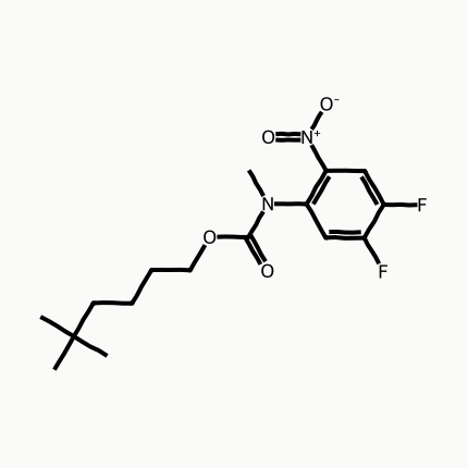 CN(C(=O)OCCCCC(C)(C)C)c1cc(F)c(F)cc1[N+](=O)[O-]